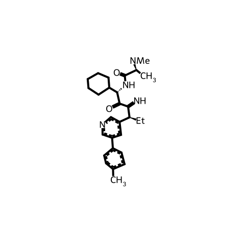 CC[C@H](C(=N)C(=O)[C@@H](NC(=O)[C@H](C)NC)C1CCCCC1)c1cncc(-c2ccc(C)cc2)c1